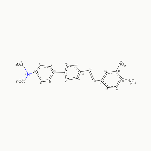 CCCCCCCCN(CCCCCCCC)c1ccc(-c2ccc(C=Cc3ccc([N+](=O)[O-])c([N+](=O)[O-])c3)cc2)cc1